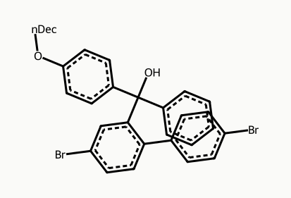 CCCCCCCCCCOc1ccc(C(O)(c2ccccc2)c2cc(Br)ccc2-c2ccc(Br)cc2)cc1